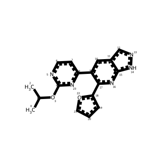 CC(C)Oc1nccc(-c2cc3cn[nH]c3nc2-c2ccco2)n1